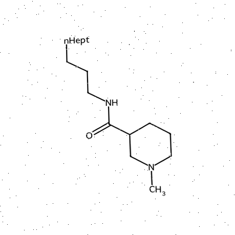 CCCCCCCCCCNC(=O)C1CCCN(C)C1